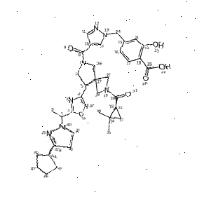 CC(c1nc(C2CN(C(=O)c3cnn(Cc4ccc(C(=O)O)c(O)c4)c3)CC23CN(C(=O)[C@H]2CC2(C)C)C3)no1)n1ccc(C2CCCC2)n1